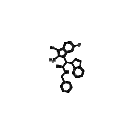 CC(=O)n1c(C)c(C(C(=O)NCc2ccccc2)C2C=Cc3ccccc32)c2cc(F)ccc21